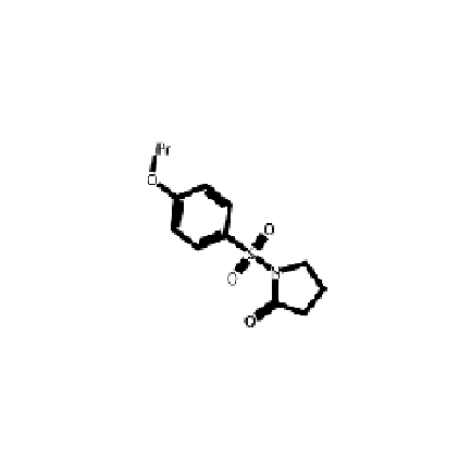 CC(C)Oc1ccc(S(=O)(=O)N2CCCC2=O)cc1